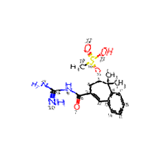 CC1(C)CCC(C(=O)NC(=N)N)=Cc2ccccc21.CS(=O)(=O)O